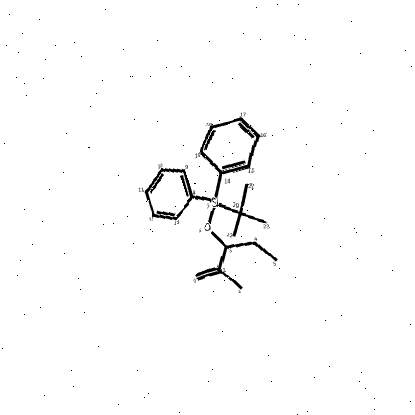 C=C(C)C(CC)O[Si](c1ccccc1)(c1ccccc1)C(C)(C)C